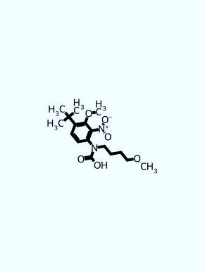 COCCCCN(C(=O)O)c1ccc(C(C)(C)C)c(OC)c1[N+](=O)[O-]